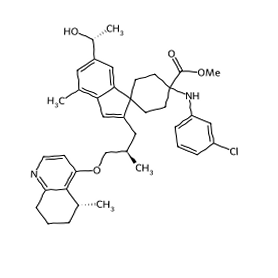 COC(=O)C1(Nc2cccc(Cl)c2)CCC2(CC1)C(C[C@@H](C)COc1ccnc3c1[C@H](C)CCC3)=Cc1c(C)cc([C@@H](C)O)cc12